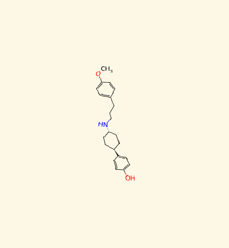 COc1ccc(CCCN[C@H]2CC[C@H](c3ccc(O)cc3)CC2)cc1